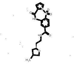 CC1CO[C@H](CCNC(=O)c2ccc3c(c2)NC(=O)c2cccn2S3(=O)=O)C1